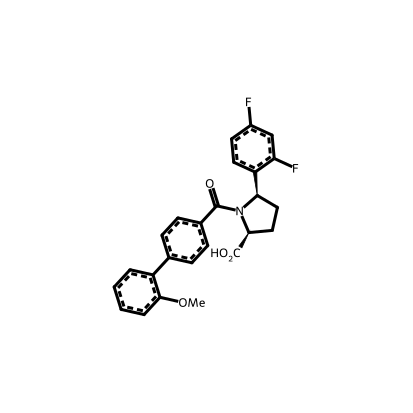 COc1ccccc1-c1ccc(C(=O)N2[C@@H](c3ccc(F)cc3F)CC[C@H]2C(=O)O)cc1